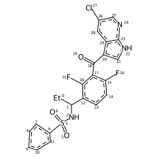 CCC(NS(=O)(=O)c1ccccc1)c1ccc(F)c(C(=O)c2c[nH]c3ncc(Cl)cc23)c1F